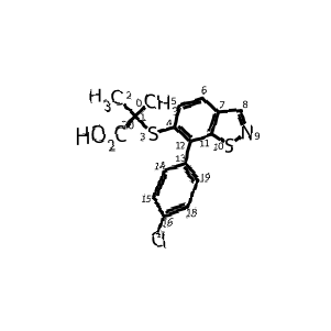 CC(C)(Sc1ccc2cnsc2c1-c1ccc(Cl)cc1)C(=O)O